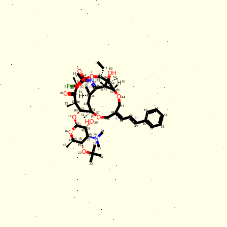 CC[C@H]1OC(=O)[C@@](C)(F)C(=O)[C@H](C)[C@@H](O[C@@H]2O[C@H](C)[C@@H](OC(C)(C)C)[C@H](N(C)C)[C@H]2O)[C@@]2(C)C[C@@H](C)/C(=N\C(C)=O)[C@H](C)[C@@H](OC/C(=C\C=C\c3ccccc3)CO2)[C@]1(C)O